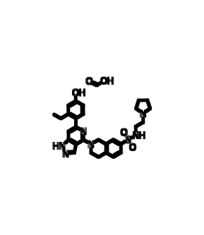 CCc1cc(O)ccc1-c1cc2[nH]ncc2c(N2CCc3ccc(S(=O)(=O)NCCN4CCCC4)cc3C2)n1.O=CO